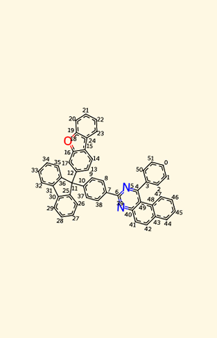 c1ccc(-c2nc(-c3ccc(C4(c5ccc6c(c5)oc5ccccc56)c5ccccc5-c5ccccc54)cc3)nc3ccc4ccccc4c23)cc1